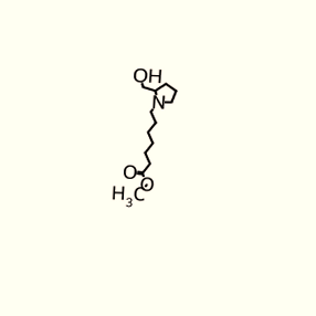 COC(=O)CCCCCCN1CCCC1CO